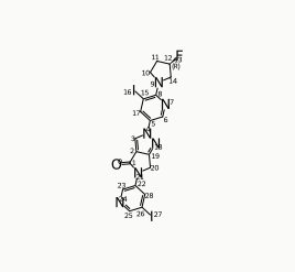 O=C1c2cn(-c3cnc(N4CC[C@@H](F)C4)c(I)c3)nc2CN1c1cncc(I)c1